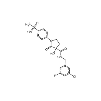 CS(=N)(=O)c1ccc(N2CCC(O)(C(=O)NCc3cc(F)cc(Cl)c3)C2=O)cc1